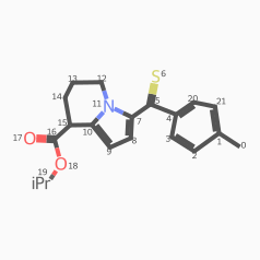 Cc1ccc(C(=S)c2ccc3n2CCCC3C(=O)OC(C)C)cc1